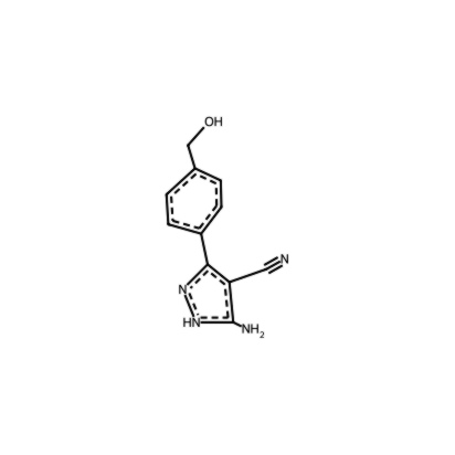 N#Cc1c(-c2ccc(CO)cc2)n[nH]c1N